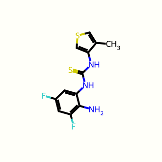 Cc1cscc1NC(=S)Nc1cc(F)cc(F)c1N